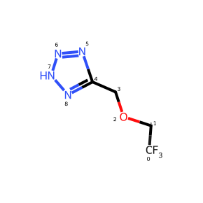 FC(F)(F)[CH]OCc1nn[nH]n1